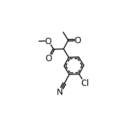 COC(=O)C(C(C)=O)c1ccc(Cl)c(C#N)c1